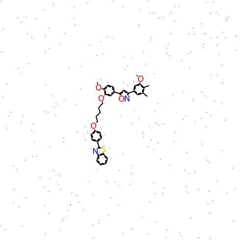 COc1ccc(-c2cc(-c3cc(C)c(C)c(OC)c3)no2)cc1OCCCCCOc1ccc(-c2nc3ccccc3s2)cc1